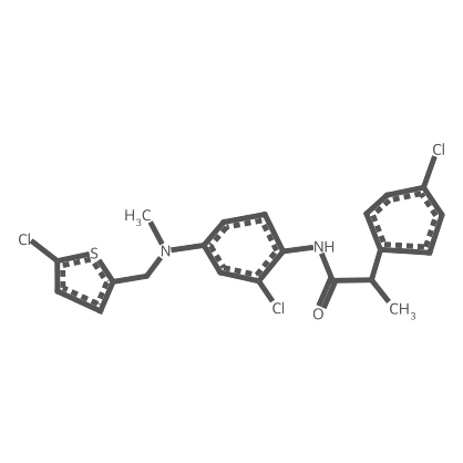 CC(C(=O)Nc1ccc(N(C)Cc2ccc(Cl)s2)cc1Cl)c1ccc(Cl)cc1